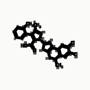 Cc1ccccc1-c1c(C)nn(-c2nc3c(s2)SC(C)c2cc(Cl)c(Cl)cc2-3)c1C(=O)O